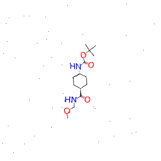 COCNC(=O)[C@H]1CC[C@H](NC(=O)OC(C)(C)C)CC1